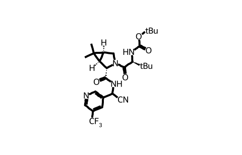 CC(C)(C)OC(=O)N[C@H](C(=O)N1C[C@H]2[C@@H]([C@H]1C(=O)NC(C#N)c1cncc(C(F)(F)F)c1)C2(C)C)C(C)(C)C